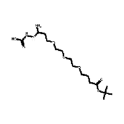 CC(C)(C)OC(=O)CCCOCCOCCOCCC(N)NNC(=O)O